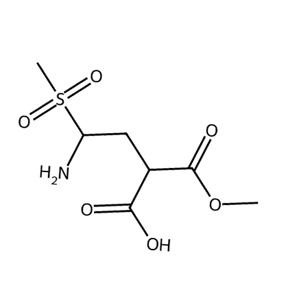 COC(=O)C(CC(N)S(C)(=O)=O)C(=O)O